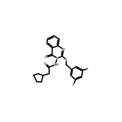 O=C(CC1CCCC1)Nn1c(SCc2cc(F)cc(F)c2)nc2ccccc2c1=O